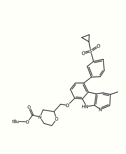 Cc1cnc2[nH]c3c(OCC4CN(C(=O)OC(C)(C)C)CCO4)ccc(-c4cccc(S(=O)(=O)C5CC5)c4)c3c2c1